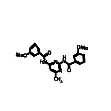 COc1cccc(C(=O)Nc2cc(C)nc(NC(=O)c3cccc(OC)c3)n2)c1